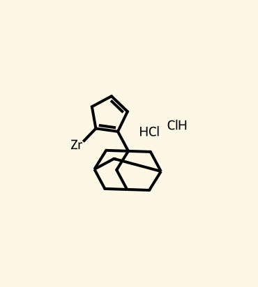 Cl.Cl.[Zr][C]1=C(C23CC4CC(CC(C4)C2)C3)C=CC1